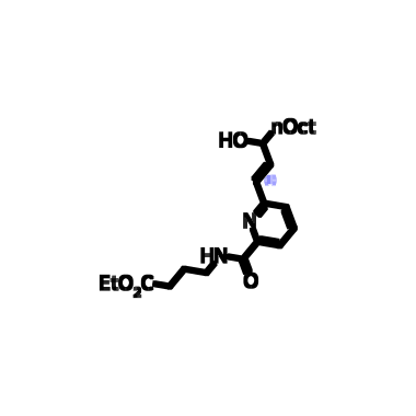 CCCCCCCCC(O)/C=C/c1cccc(C(=O)NCCCC(=O)OCC)n1